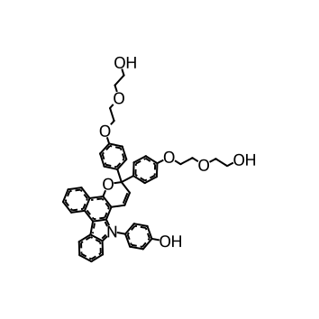 OCCOCCOc1ccc(C2(c3ccc(OCCOCCO)cc3)C=Cc3c(c4ccccc4c4c5ccccc5n(-c5ccc(O)cc5)c34)O2)cc1